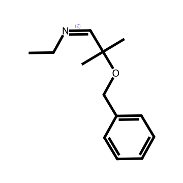 CC/N=C\C(C)(C)OCc1ccccc1